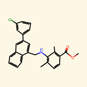 COC(=O)c1ccc(C)c(NCc2cc(-c3cccc(Cl)c3)cc3ccccc23)c1C